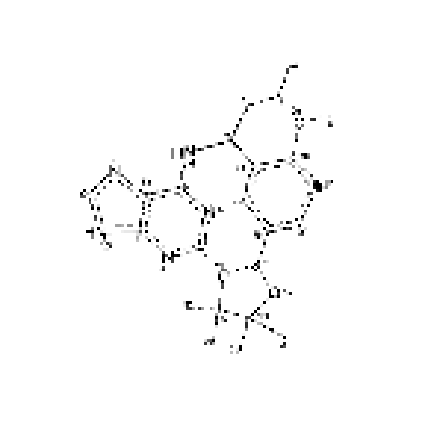 CCCC(Nc1ncnc2[nH]cnc12)c1cc(B2OC(C)(C)C(C)(C)O2)cnc1OC